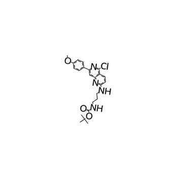 COc1ccc(-c2cc3nc(NCCCNC(=O)OC(C)(C)C)ccc3c(Cl)n2)cc1